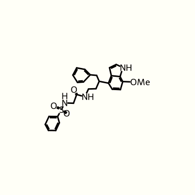 COc1ccc(C(CCNC(=O)CNS(=O)(=O)c2ccccc2)Cc2ccccc2)c2cc[nH]c12